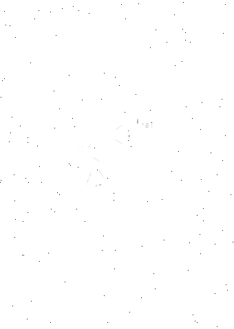 CCOC(=O)c1sc2cccc(OCC)c2c1COc1c(F)cc(C(N)=O)cc1F